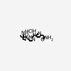 CC[C@]1(C#N)CCN(c2ccnc(Nc3ccc(CC(N)=O)nc3)n2)C1=O.Cl